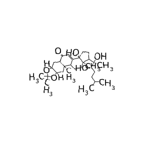 CC(C)CC[C@@H](O)[C@](C)(O)C1CC[C@@]2(O)C3=CC(=O)C4C[C@H]5OC(C)(C)O[C@H]5CC4(C)C3CCC12C